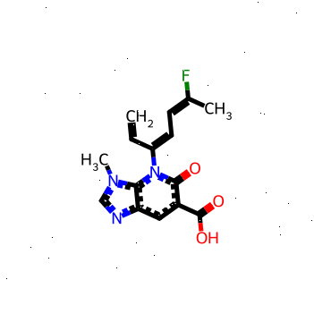 C=C/C(=C\C=C(/C)F)n1c(=O)c(C(=O)O)cc2ncn(C)c21